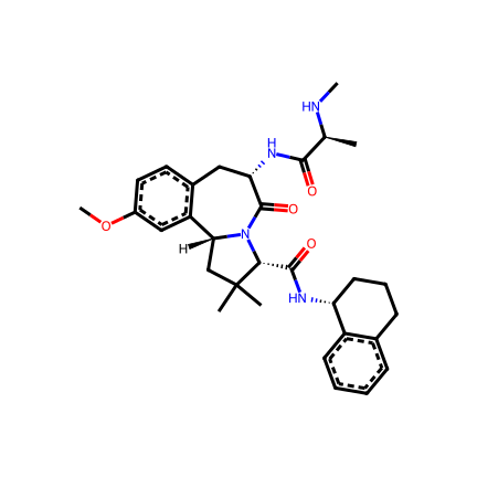 CN[C@@H](C)C(=O)N[C@H]1Cc2ccc(OC)cc2[C@H]2CC(C)(C)[C@@H](C(=O)N[C@@H]3CCCc4ccccc43)N2C1=O